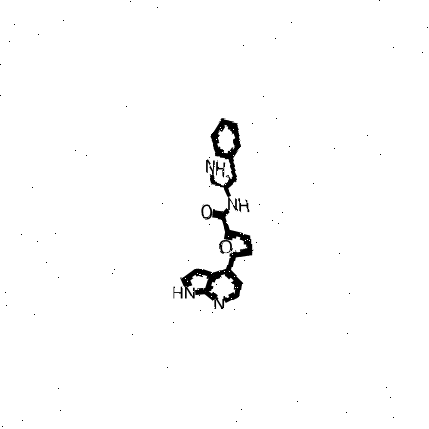 NC[C@@H](Cc1ccccc1)NC(=O)c1ccc(-c2ccnc3[nH]ccc23)o1